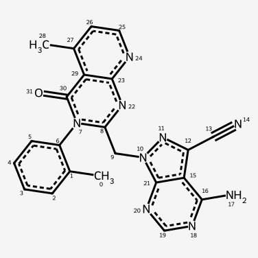 Cc1ccccc1-n1c(Cn2nc(C#N)c3c(N)ncnc32)nc2nccc(C)c2c1=O